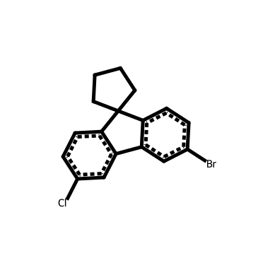 Clc1ccc2c(c1)-c1cc(Br)ccc1C21CCCC1